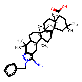 CC1(C)CC2C3=CCC4[C@@]5(C)Cc6c(nn(Cc7ccccc7)c6N)C(C)(C)C5CC[C@@]4(C)[C@]3(C)CC[C@@H]2[C@H](C(=O)O)C1